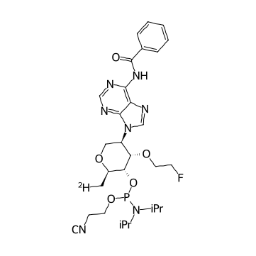 [2H]C[C@H]1OC[C@@H](n2cnc3c(NC(=O)c4ccccc4)ncnc32)[C@H](OCCF)[C@@H]1OP(OCC[N+]#[C-])N(C(C)C)C(C)C